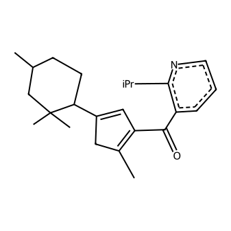 CC1=C(C(=O)c2cccnc2C(C)C)C=C(C2CCC(C)CC2(C)C)C1